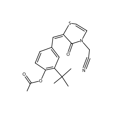 CC(=O)Oc1ccc(/C=C2/SC=CN(CC#N)C2=O)cc1C(C)(C)C